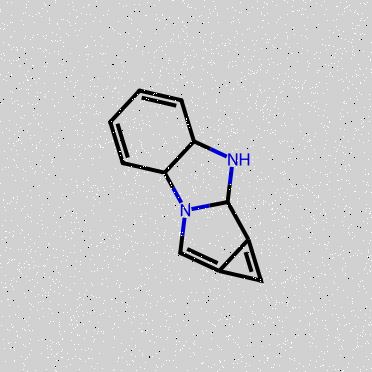 C1=CC2NC3C4=CC4=CN3C2C=C1